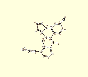 CN(c1cccc(C#CC(C)(C)C)c1F)c1nc2nncn2c2cc(Cl)ccc12